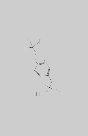 CC(C)(C)Cc1ccc(OCC(F)(F)F)nc1